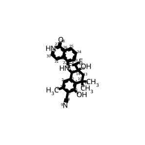 Cc1cc2c(c(O)c1C#N)C(C)(C)CC(O)(C(F)(F)F)C2Nc1cccc2c(=O)[nH]ccc12